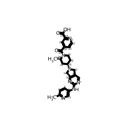 Cc1ccc(Nc2ncc3c(n2)CN([C@@H]2CCN(C(=O)c4ccnc(C(=O)O)c4)[C@H](C)C2)C3)cn1